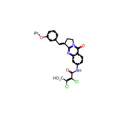 CC(C)Oc1cccc(C=C2CCn3c2nc2cc(NC(=O)/C(Cl)=C(/Cl)C(=O)O)ccc2c3=O)c1